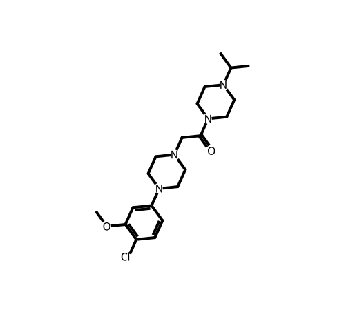 COc1cc(N2CCN(CC(=O)N3CCN(C(C)C)CC3)CC2)ccc1Cl